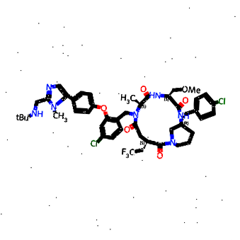 COC[C@@H]1NC(=O)[C@H](C)N(Cc2ccc(Cl)cc2Oc2ccc(-c3cnc(CNC(C)(C)C)n3C)cc2)C(=O)C[C@@H](CC(F)(F)F)C(=O)N2CCC[C@@](Cc3ccc(Cl)cc3)(C2)NC1=O